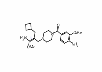 CO/C(N)=C(/CC1CCC1)CN1CCN(C(=O)c2ccc(N)c(OC)c2)CC1